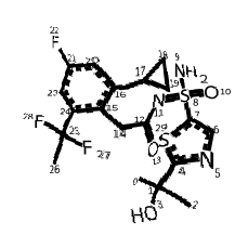 CC(C)(O)c1ncc(S(N)(=O)=NC(=O)Cc2c(C3CC3)cc(F)cc2C(C)(F)F)s1